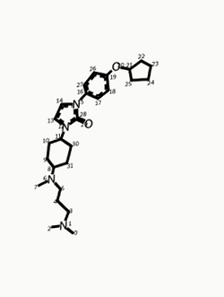 CN(C)CCCN(C)C1CCC(n2ccn(-c3ccc(OC4CCCC4)cc3)c2=O)CC1